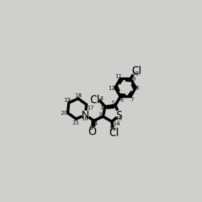 O=C(C1C(Cl)=C(c2ccc(Cl)cc2)SC1Cl)N1CCCCC1